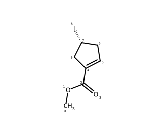 COC(=O)C1=CC[C@@H](I)C1